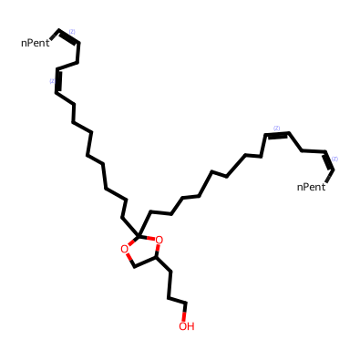 CCCCC/C=C\C/C=C\CCCCCCCCC1(CCCCCCCC/C=C\C/C=C\CCCCC)OCC(CCCO)O1